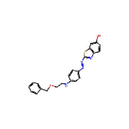 Oc1ccc2nc(/N=N/c3ccc(NCCOCc4ccccc4)cc3)sc2c1